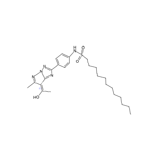 CCCCCCCCCCCCS(=O)(=O)Nc1ccc(-c2nc3/c(=C(\C)O)c(C)nn3n2)cc1